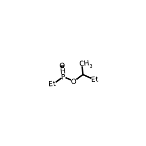 CCC(C)O[PH](=O)CC